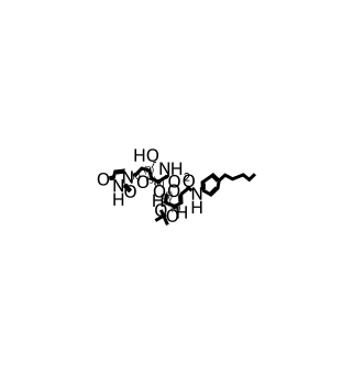 CCCCCc1ccc(NC(=O)C2=C[C@@H]3OC(C)(C)O[C@@H]3[C@@H](O[C@@H](C(N)=O)[C@H]3O[C@@H](n4ccc(=O)[nH]c4=O)C[C@@H]3CO)O2)cc1